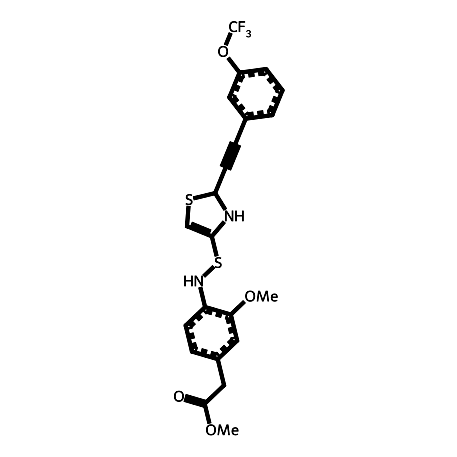 COC(=O)Cc1ccc(NSC2=CSC(C#Cc3cccc(OC(F)(F)F)c3)N2)c(OC)c1